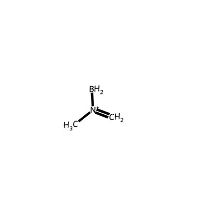 B[N+](=C)C